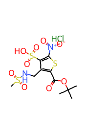 CC(C)(C)OC(=O)c1sc([N+](=O)[O-])c(S(=O)(=O)O)c1CNS(C)(=O)=O.Cl